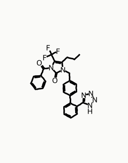 CCCc1c(C(F)(F)F)n(C(=O)c2ccccc2)c(=O)n1Cc1ccc(-c2ccccc2-c2nnn[nH]2)cc1